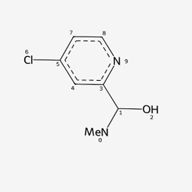 CNC(O)c1cc(Cl)ccn1